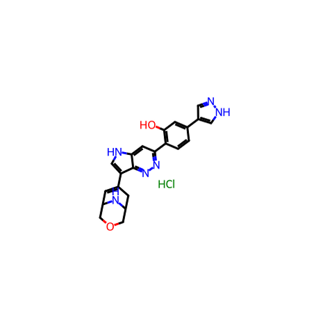 Cl.Oc1cc(-c2cn[nH]c2)ccc1-c1cc2[nH]cc(C3=CC4COCC(C3)N4)c2nn1